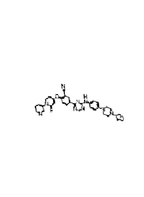 N#Cc1cc(-c2ncnc(Nc3ccc(N4CCN(C5COC5)CC4)cc3)n2)ccc1O[C@H]1CCN(c2cccnc2)C(F)C1